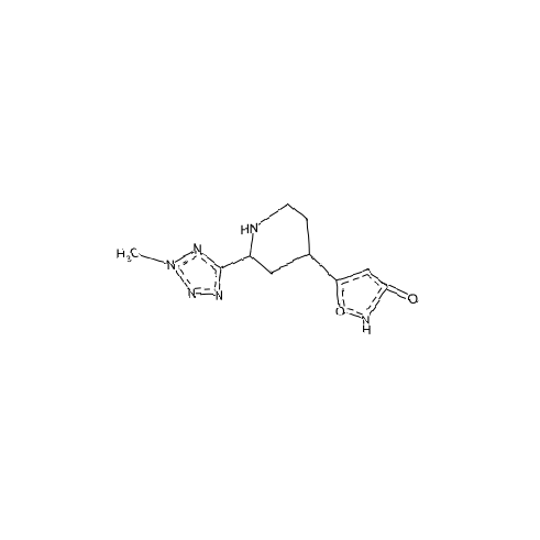 Cn1nnc(C2CC(c3cc(=O)[nH]o3)CCN2)n1